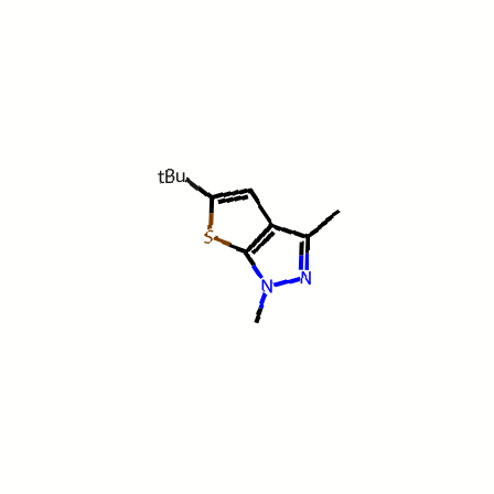 Cc1nn(C)c2sc(C(C)(C)C)cc12